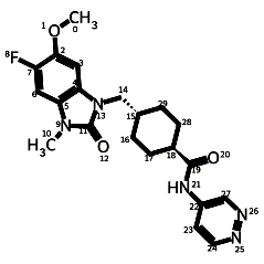 COc1cc2c(cc1F)n(C)c(=O)n2C[C@H]1CC[C@H](C(=O)Nc2ccnnc2)CC1